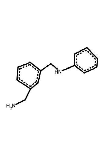 NCc1cccc(CNc2ccccc2)c1